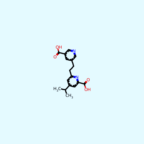 CC(C)c1cc(CCc2cncc(C(=O)O)c2)nc(C(=O)O)c1